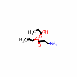 C=CCOC(=O)CCN.CCC(=O)O